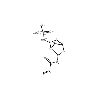 C=CC(=O)OC1CC2CC(NS(=O)(=O)C(F)(F)F)C1C2